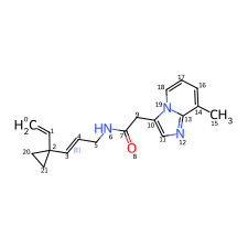 C=CC1(/C=C/CNC(=O)Cc2cnc3c(C)cccn23)CC1